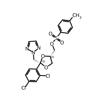 Cc1ccc(S(=O)(=O)OC[C@@H]2CO[C@@](Cn3nccn3)(c3ccc(Cl)cc3Cl)O2)cc1